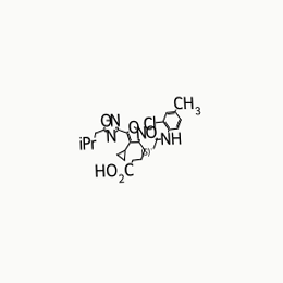 Cc1ccc(NC(=O)C[C@H](CCC(=O)O)c2noc(-c3noc(CC(C)C)n3)c2C2CC2)c(Cl)c1